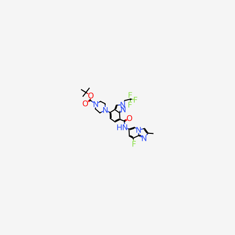 Cc1cn2cc(NC(=O)c3ccc(N4CCN(C(=O)OC(C)(C)C)CC4)c4cn(CC(F)(F)F)nc34)cc(F)c2n1